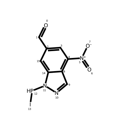 O=Cc1cc([N+](=O)[O-])c2cnn(PI)c2c1